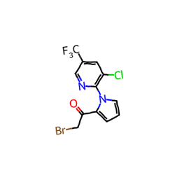 O=C(CBr)c1cccn1-c1ncc(C(F)(F)F)cc1Cl